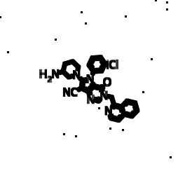 Cl.N#Cc1c(N2CCCC(N)C2)n(-c2ccccc2)c2c(=O)n(Cc3nccc4ccccc34)cnc12